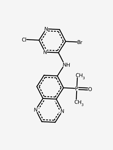 CP(C)(=O)c1c(Nc2nc(Cl)ncc2Br)ccc2nccnc12